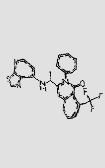 C[C@H](Nc1ccnc2scnc12)c1cc2cccc(C(F)(F)F)c2c(=O)n1-c1ccccc1